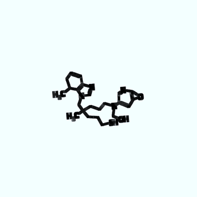 CC1CC=Cc2ncn(CC(C)(CCCS)CCCN(CO)c3cnc4c(c3)O4)c21